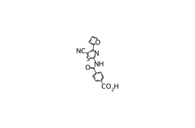 N#Cc1sc(NC(=O)c2ccc(C(=O)O)cc2)nc1-c1ccco1